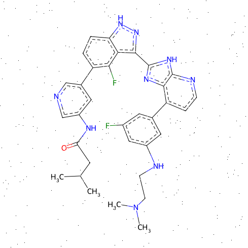 CC(C)CC(=O)Nc1cncc(-c2ccc3[nH]nc(-c4nc5c(-c6cc(F)cc(NCCN(C)C)c6)ccnc5[nH]4)c3c2F)c1